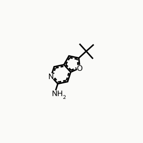 CC(C)(C)c1cc2cnc(N)cc2o1